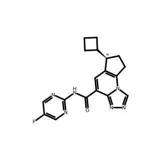 O=C(Nc1ncc(F)cn1)c1cc2c(n3cnnc13)CC[C@@H]2C1CCC1